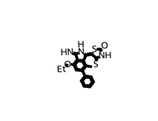 CCOc1cc(-c2ccccc2)c(C)c2c1C(=N)NC2=C1SC(=O)NC1=S